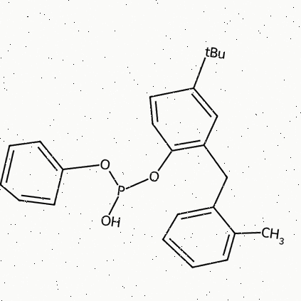 Cc1ccccc1Cc1cc(C(C)(C)C)ccc1OP(O)Oc1ccccc1